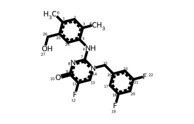 Cc1cc(C)c(Nc2nc(=O)c(F)cn2Cc2cc(F)cc(F)c2)cc1CO